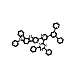 c1ccc(-c2cc(-c3ccccc3)cc(-c3cnc(-c4ccc5c(c4)oc4c5ccc5c4c4ccccc4n5-c4ccccc4)c(-c4nc(-c5ccccc5)nc(-c5ccccc5)n4)c3)c2)cc1